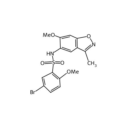 COc1cc2onc(C)c2cc1NS(=O)(=O)c1cc(Br)ccc1OC